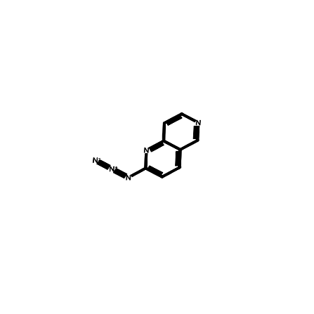 [N-]=[N+]=Nc1ccc2cnccc2n1